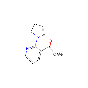 COC(=O)c1cccnc1N1CCCC1